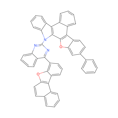 c1ccc(-c2ccc3c(c2)oc2c3c3ccccc3c3c4ccccc4n(-c4nc(-c5cccc6c5oc5ccc7ccccc7c56)c5ccccc5n4)c23)cc1